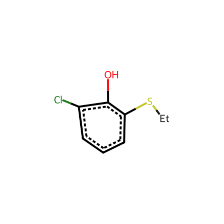 CCSc1cccc(Cl)c1O